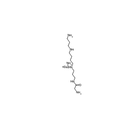 CCCCCCCCCCN.NCCCNCCCCNCCCNC(=O)CN